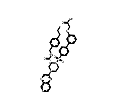 CCCc1ccc(CNC(=O)[C@H]2CN(c3cnc4cnccc4n3)CCN2S(=O)(=O)c2ccc(-c3cccc(OCC(=O)O)c3)cc2)cc1